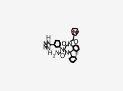 NC(=O)N(c1cccc(-c2nnn[nH]2)c1)C1N=C(c2ccccc2F)c2ccccc2N(CC(=O)N2CC3CCC(CC3)C2)C1=O